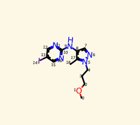 COCCCn1ncc(Nc2ncc(I)cn2)c1C